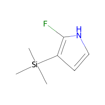 C[Si](C)(C)c1cc[nH]c1F